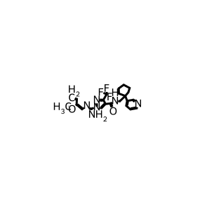 C=C/C(=C\N=C(/N)n1cc(C(=O)NCC2(c3cccnc3)CCCCC2)c(C(F)(F)F)n1)OC